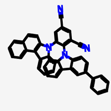 N#Cc1cc(C#N)c(-n2c3ccccc3c3cc(-c4ccccc4)ccc32)c(-n2c3ccccc3c3c4ccccc4ccc32)c1